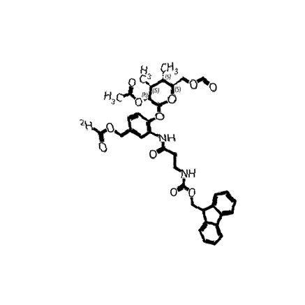 [2H]C(=O)OCc1ccc(OC2O[C@H](COC=O)[C@@H](C)[C@H](C)[C@H]2OC(C)=O)c(NC(=O)CCNC(=O)OCC2c3ccccc3-c3ccccc32)c1